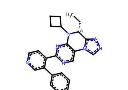 CC[C@@H]1c2nncn2-c2cnc(-c3ccncc3-c3ccccc3)nc2N1C1CCC1